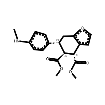 CNc1ccc([C@@H]2Cc3occc3[C@H](C(=O)OC)[C@H]2C(=O)OC)cc1